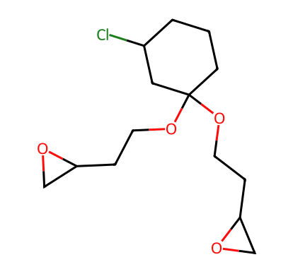 ClC1CCCC(OCCC2CO2)(OCCC2CO2)C1